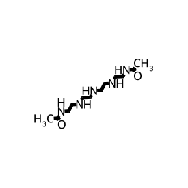 CC(=O)NCCNCCNCCNCCNC(C)=O